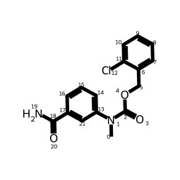 CN(C(=O)OCc1ccccc1Cl)c1cccc(C(N)=O)c1